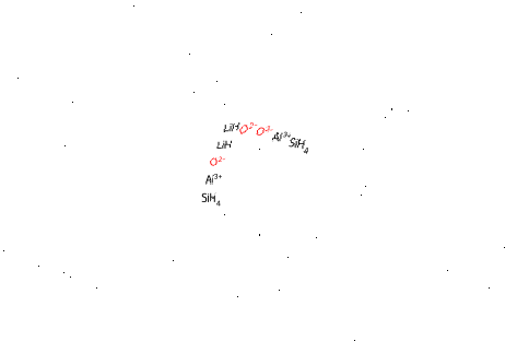 [Al+3].[Al+3].[LiH].[LiH].[O-2].[O-2].[O-2].[SiH4].[SiH4]